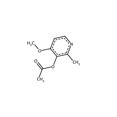 COc1ccnc(C)c1OC(C)=O